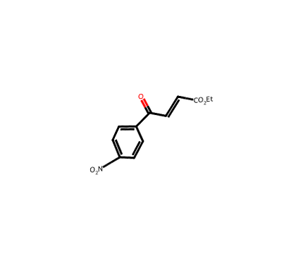 CCOC(=O)C=CC(=O)c1ccc([N+](=O)[O-])cc1